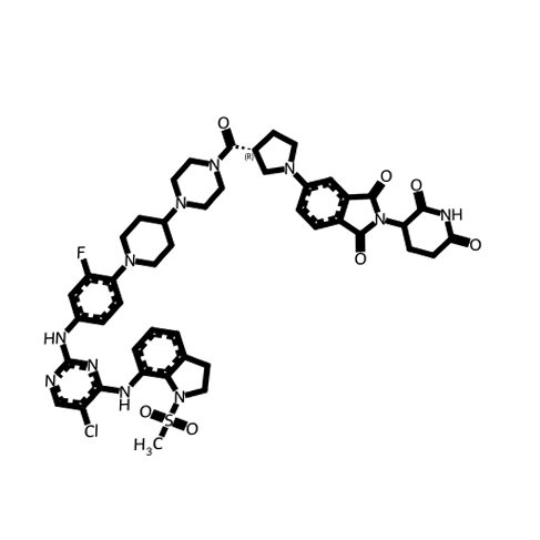 CS(=O)(=O)N1CCc2cccc(Nc3nc(Nc4ccc(N5CCC(N6CCN(C(=O)[C@@H]7CCN(c8ccc9c(c8)C(=O)N(C8CCC(=O)NC8=O)C9=O)C7)CC6)CC5)c(F)c4)ncc3Cl)c21